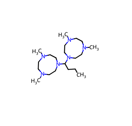 CCCC(N1CCN(C)CCN(C)CC1)N1CCN(C)CCN(C)CC1